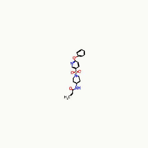 C=CC(=O)NC1CCN(S(=O)(=O)c2ccc(Oc3ccccc3)nc2)CC1